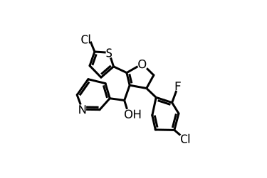 OC(C1=C(c2ccc(Cl)s2)OCC1c1ccc(Cl)cc1F)c1cccnc1